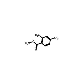 Cc1ccc(C(=O)ON)c(C)c1